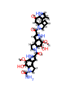 COc1c(O)c2c(c3cc(C(=O)N4CCc5c4c(O)c(OC)c4[nH]c(C(=O)N6CC7CCC78C6=CC(=O)c6[nH]cc(C)c68)cc54)[nH]c13)CCN2C(N)=O